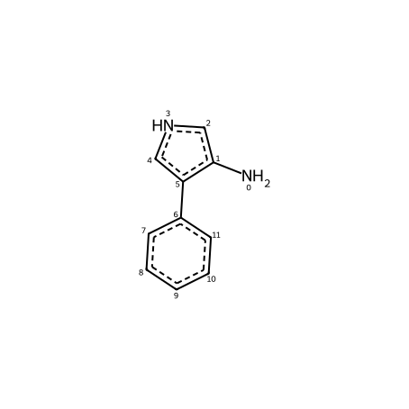 Nc1c[nH]cc1-c1ccccc1